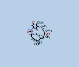 COC1=C2C[C@@H](C)C[C@H](OC)[C@H](O)[C@@H](C)/C=C(\C)[C@H](NC(=O)O)[C@H](OC)/C=C\C=C(/C)C(=O)NC(=CC1=O)C2=O